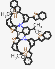 CC(C)c1cc2c3c(c1)N1c4cc(cc(-c5cc6ccccc6s5)c4)C4=Cc5ccccc5[SH]4C(C)(C)c4ccc5sc(c1c5c4)B3c1sc3ccc4cc3c1N2c1cc(cc(-c2cc3ccccc3s2)c1)C1=Cc2ccccc2[SH]1C4(C)C